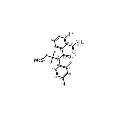 CSCC(C)(C)N(C(=O)c1cccc(I)c1C(N)=O)c1ccc(I)cc1C